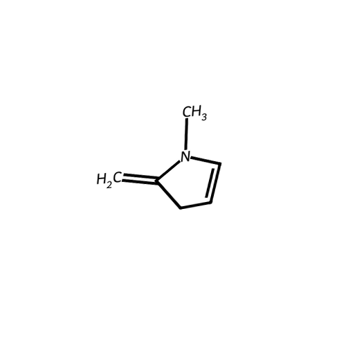 C=C1CC=CN1C